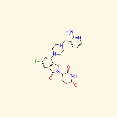 Nc1ncccc1CN1CCN(c2cc(F)cc3c2CN(C2CCC(=O)NC2=O)C3=O)CC1